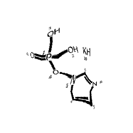 O=P(O)(O)On1ccnc1.[KH]